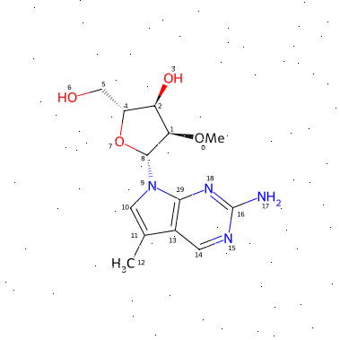 CO[C@@H]1[C@H](O)[C@@H](CO)O[C@H]1n1cc(C)c2cnc(N)nc21